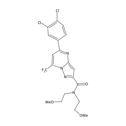 COCCN(CCOC)C(=O)c1cc2nc(-c3ccc(Cl)c(Cl)c3)cc(C(F)(F)F)n2n1